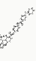 CN(C)CCn1nnnc1SC1CCN(C(=O)Oc2ccc(NC(=O)c3ccc(CN4CCCCC4)cc3)cn2)CC1